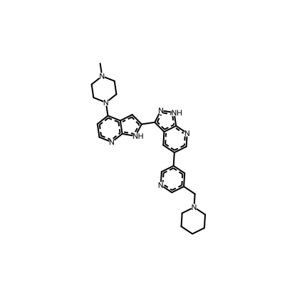 CN1CCN(c2ccnc3[nH]c(-c4n[nH]c5ncc(-c6cncc(CN7CCCCC7)c6)cc45)cc23)CC1